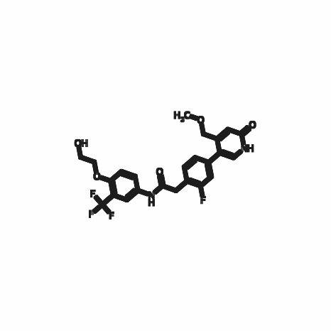 COCc1cc(=O)[nH]cc1-c1ccc(CC(=O)Nc2ccc(OCCO)c(C(F)(F)F)c2)c(F)c1